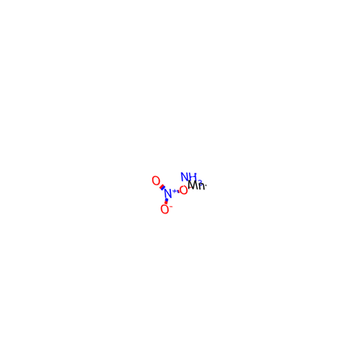 N.O=[N+]([O-])[O-].[Mn]